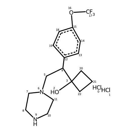 Cl.Cl.OC1(C(CN2CCNCC2)c2ccc(OC(F)(F)F)cc2)CCC1